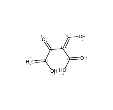 C=C(O)C(=O)/C(=C/O)C(=O)O